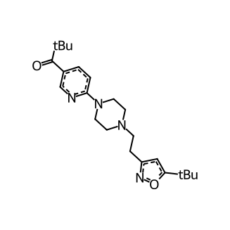 CC(C)(C)C(=O)c1ccc(N2CCN(CCc3cc(C(C)(C)C)on3)CC2)nc1